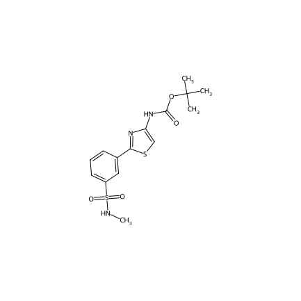 CNS(=O)(=O)c1cccc(-c2nc(NC(=O)OC(C)(C)C)cs2)c1